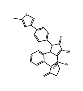 Cc1cc(-c2ccc(N3C(=O)C(O)=C(C(=O)C(C)C)C3c3ccccc3N3CCCC3=O)cc2)cs1